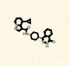 O=C(N[C@H]1CC[C@H](c2n[nH]c(=O)c3ccccc32)CC1)c1cnn2cccc(C3CC3)c12